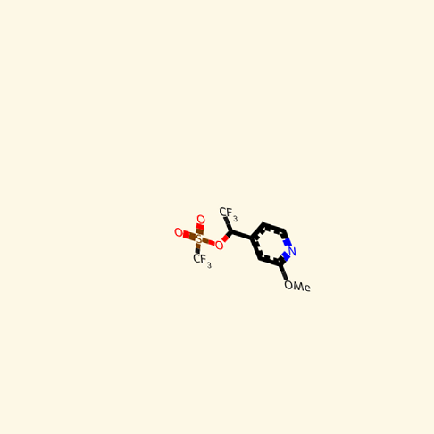 COc1cc(C(OS(=O)(=O)C(F)(F)F)C(F)(F)F)ccn1